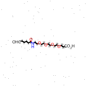 O=CCCCCC(=O)NCCOCCOCCOCCOCCC(=O)O